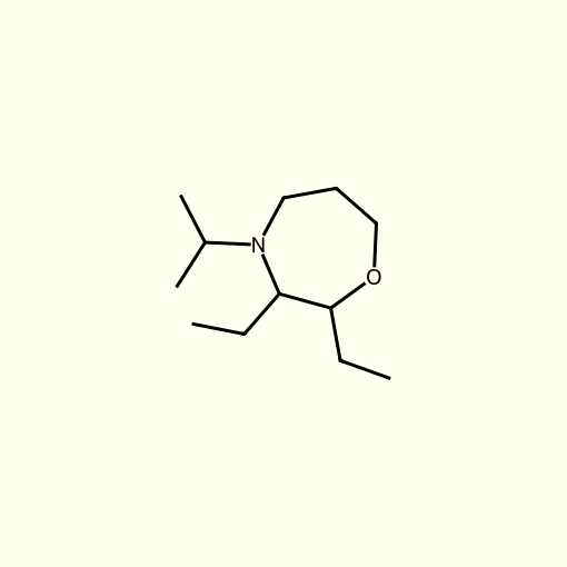 CCC1OCCCN(C(C)C)C1CC